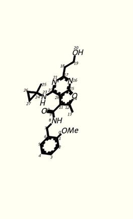 COc1ccccc1CNC(=O)c1c(C)oc2nc(CCO)nc(NC3(C)CC3)c12